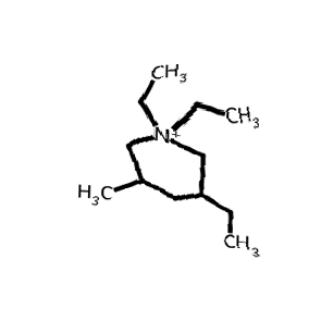 CCC1CC(C)C[N+](CC)(CC)C1